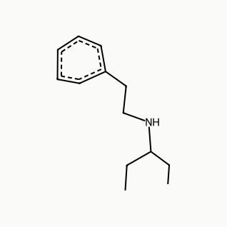 CCC(CC)NCCc1ccccc1